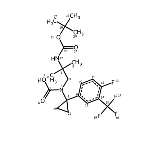 CC(C)(CN(C(=O)O)C1(c2ccc(F)c(C(F)(F)F)c2)CC1)NC(=O)OC(C)(C)C